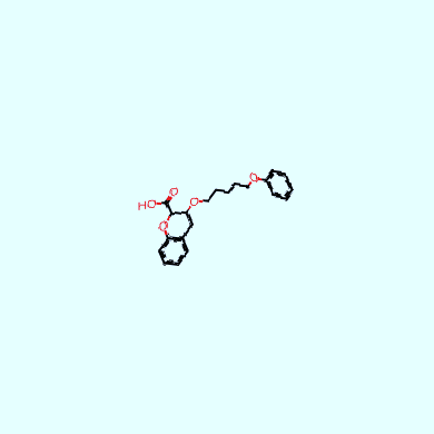 O=C(O)C1Oc2ccccc2CC1OCCCCCOc1ccccc1